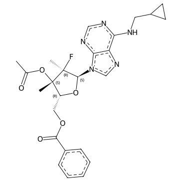 CC(=O)O[C@@]1(C)[C@@H](COC(=O)c2ccccc2)O[C@H](n2cnc3c(NCC4CC4)ncnc32)[C@]1(C)F